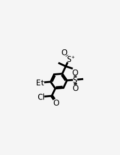 CCc1cc(C(C)(C)[S+]=O)c(S(C)(=O)=O)cc1C(=O)Cl